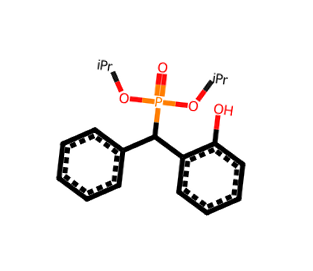 CC(C)OP(=O)(OC(C)C)C(c1ccccc1)c1ccccc1O